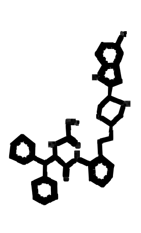 COC(=O)NC(C(=O)Nc1ccccc1CC[C@@H]1CN[C@H](c2cc3cc(Cl)ccc3[nH]2)CO1)C(c1ccccc1)c1ccccc1